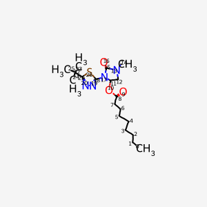 CCCCCCCCC(=O)OC1CN(C)C(=O)N1c1nnc(C(C)(C)C)s1